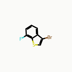 Fc1cccc2c(Br)csc12